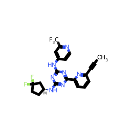 CC#Cc1cccc(-c2nc(Nc3ccnc(C(F)(F)F)c3)nc(N[C@@H]3CCC(F)(F)C3)n2)n1